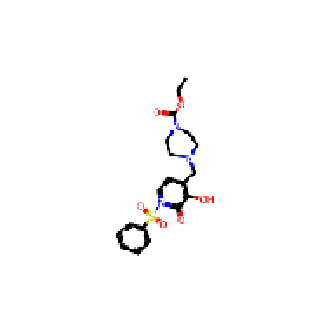 CCOC(=O)N1CCN(Cc2ccn(S(=O)(=O)c3ccccc3)c(=O)c2O)CC1